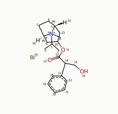 CC(C)[N+]1(C)[C@@H]2CC[C@@H]1CC(OC(=O)C(CO)c1ccccc1)C2.[Br-]